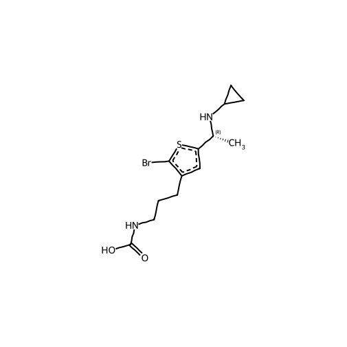 C[C@@H](NC1CC1)c1cc(CCCNC(=O)O)c(Br)s1